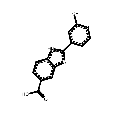 O=C(O)c1ccc2[nH]c(-c3ccnc(O)c3)nc2c1